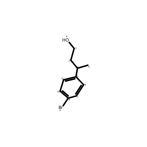 CC(CCO)c1ccc(Br)cc1